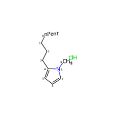 CCCCCCCCc1cccn1C.Cl